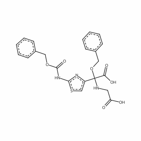 O=C(O)CNC(OCc1ccccc1)(C(=O)O)c1csc(NC(=O)OCc2ccccc2)n1